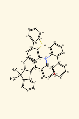 CC1(C)c2ccccc2-c2c(-c3ccccc3N(c3ccccc3-c3ccccc3)c3cccc4c3sc3ccccc34)cccc21